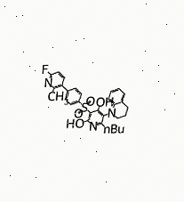 CCCCc1nc(O)c(S(=O)(=O)c2ccc(-c3ccc(F)nc3C)cc2)c(O)c1N1CCCc2ccccc21